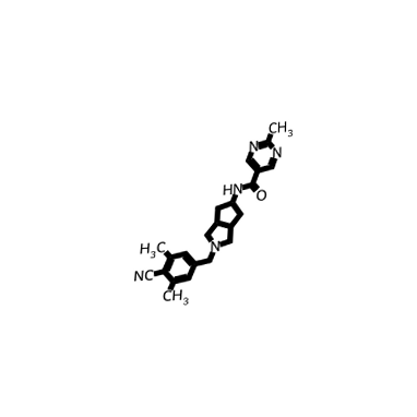 Cc1ncc(C(=O)NC2CC3CN(Cc4cc(C)c(C#N)c(C)c4)CC3C2)cn1